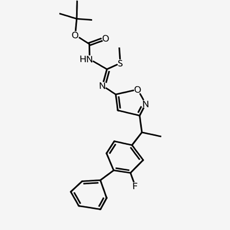 CS/C(=N\c1cc(C(C)c2ccc(-c3ccccc3)c(F)c2)no1)NC(=O)OC(C)(C)C